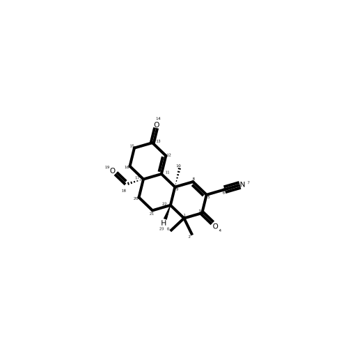 CC1(C)C(=O)C(C#N)=C[C@]2(C)C3=CC(=O)CC[C@]3(C=O)CC[C@@H]12